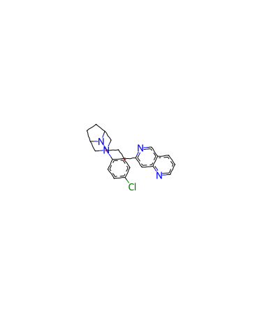 Clc1ccc(N2CC3CCC(C2)N3CCCc2cc3ncccc3cn2)cc1